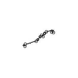 C=CC(=O)OCCCCCCCCCCOc1ccc(-c2ccc(OC(=O)c3ccc(OCCCCC4CC(=C)C(=O)O4)cc3)cc2)cc1